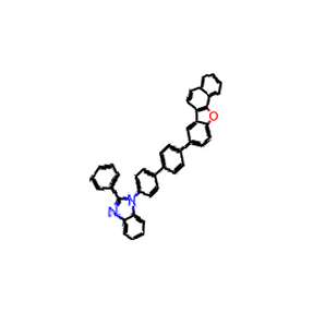 c1ccc(-c2nc3ccccc3n2-c2ccc(-c3ccc(-c4ccc5oc6c7ccccc7ccc6c5c4)cc3)cc2)cc1